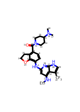 CCNc1cc(Nc2ccc(C(=O)N3CCC(N(C)C)CC3)c3c2OCC3)nc2[nH]cc(C(F)(F)F)c12